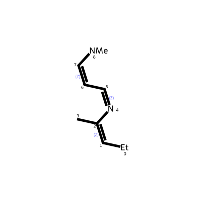 CC\C=C(C)/N=C\C=C/NC